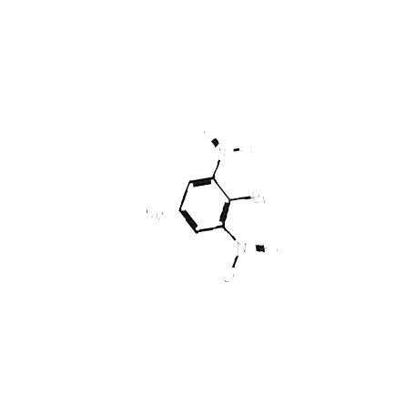 O=[N+]([O-])c1cccc([N+](=O)[O-])c1Br.[Se]